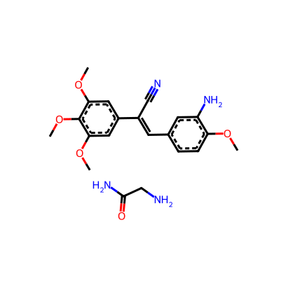 COc1ccc(C=C(C#N)c2cc(OC)c(OC)c(OC)c2)cc1N.NCC(N)=O